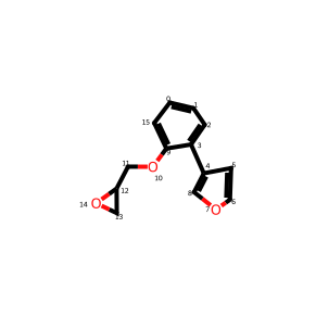 c1ccc(-c2ccoc2)c(OCC2CO2)c1